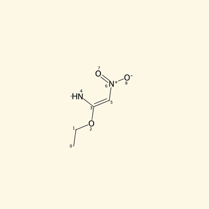 CCOC([NH])=C[N+](=O)[O-]